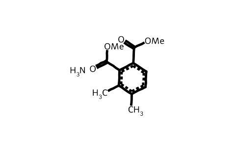 COC(=O)c1ccc(C)c(C)c1C(=O)OC.N